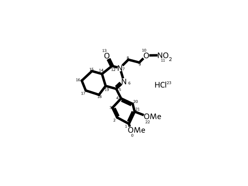 COc1ccc(C2=NN(CCO[N+](=O)[O-])C(=O)C3CCCCC23)cc1OC.Cl